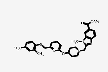 COC(=O)c1ccc2nc(CN3CCC(OC4=CCCC(CSc5ccc(C)cc5C)=N4)CC3)n(C)c2c1